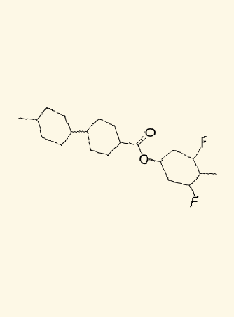 CC1CCC(C2CCC(C(=O)OC3CC(F)C(C)C(F)C3)CC2)CC1